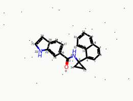 O=C(NC1(c2cccc3ccccc23)CC1)c1ccc2cc[nH]c2c1